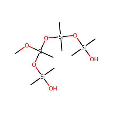 CO[Si](C)(O[Si](C)(C)O)O[Si](C)(C)O[Si](C)(C)O